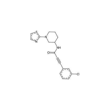 O=C(C#Cc1cccc(Cl)c1)NC1CCCN(c2nccs2)C1